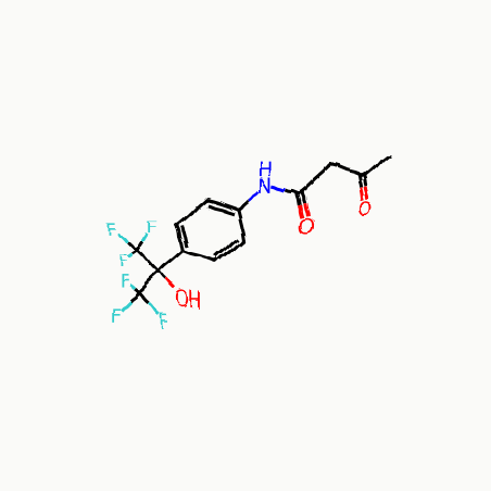 CC(=O)CC(=O)Nc1ccc(C(O)(C(F)(F)F)C(F)(F)F)cc1